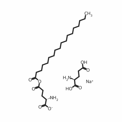 CCCCCCCCCCCCCCCCCC(=O)OC(=O)CC[C@H](N)C(=O)[O-].N[C@@H](CCC(=O)O)C(=O)O.[Na+]